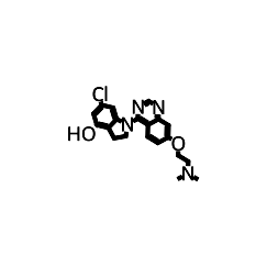 CN(C)CCOc1ccc2c(N3CCc4c(O)cc(Cl)cc43)ncnc2c1